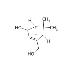 CC1(C)[C@@H]2C[C@H]1C(O)C=C2CO